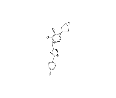 O=c1c(=O)n(C2CC3CC3C2)ccn1Cc1nnc(-c2ccc(F)cc2)s1